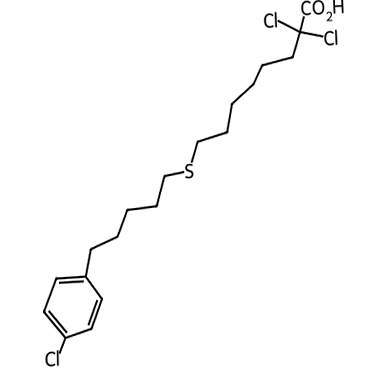 O=C(O)C(Cl)(Cl)CCCCCCSCCCCCc1ccc(Cl)cc1